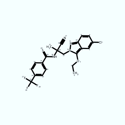 CCOc1c2cc(Cl)ccc2nn1CC(C)(C#N)NC(=S)c1ccc(C(F)(F)F)cc1